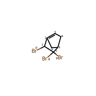 BrC1C2=CCC(C2)C1(Br)Br